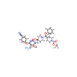 CC(C)(C)OC(=O)N1CC[C@@H](C(=O)N2CCC(O)(Cn3cnc(Oc4ccc(C#N)cc4)c(N)c3=O)CC2)[C@H](c2ccccc2)C1